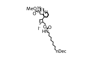 CCCCCCCCCCCCCCCCCCNC(=O)OCC1SCC1c1ccc[n+](CC)c1CNC(=O)OC.[I-]